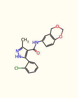 Cc1n[nH]c(-c2ccccc2Cl)c1C(=O)Nc1ccc2c(c1)COCO2